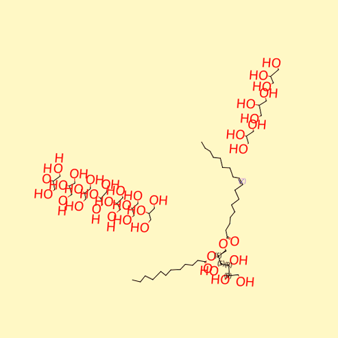 CCCCCCCC/C=C\CCCCCCCC(=O)OC[C@H](OC(=O)CCCCCCCCCCC)[C@@H](O)[C@H](O)[C@H](O)CO.OCC(O)CO.OCC(O)CO.OCC(O)CO.OCC(O)CO.OCC(O)CO.OCC(O)CO.OCC(O)CO.OCC(O)CO.OCC(O)CO.OCC(O)CO